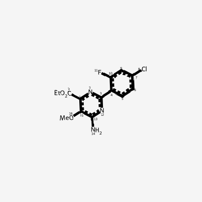 CCOC(=O)c1nc(-c2ccc(Cl)cc2F)nc(N)c1OC